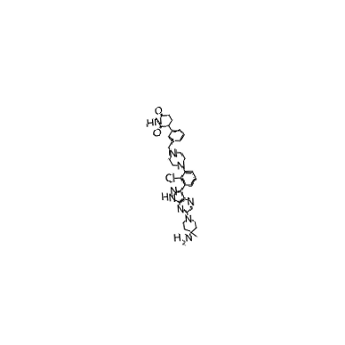 CC1(N)CCN(c2cnc3c(-c4cccc(N5CCN(Cc6cccc(C7CCC(=O)NC7=O)c6)CC5)c4Cl)n[nH]c3n2)CC1